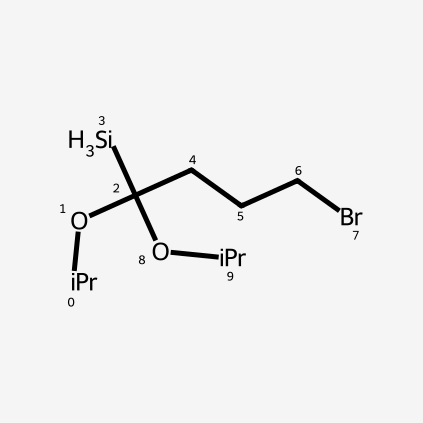 CC(C)OC([SiH3])(CCCBr)OC(C)C